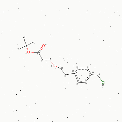 CC(C)(C)OC(=O)CCOCCc1ccc(CCl)cc1